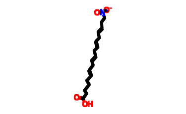 O=C(O)CCCCC=CCC=CCC=CCC=CCC[N+](=O)[O-]